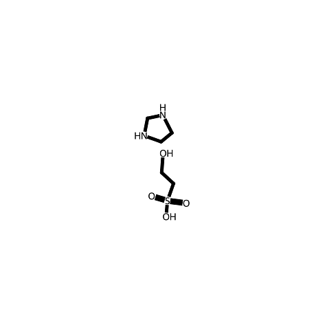 C1CNCN1.O=S(=O)(O)CCO